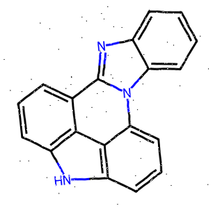 c1ccc2c(c1)nc1c3cccc4[nH]c5cccc(c5c43)n21